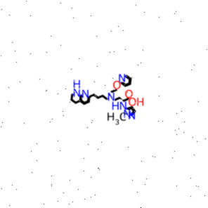 Cn1nccc1N[C@@H](CCN(CCCCc1ccc2c(n1)NCCC2)CCOc1ccccn1)C(=O)O